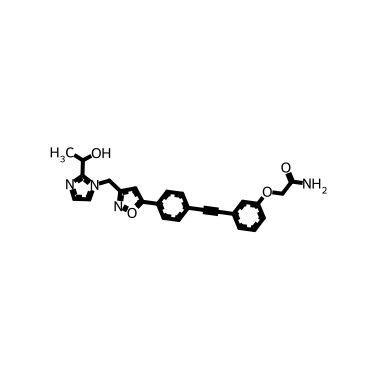 CC(O)c1nccn1Cc1cc(-c2ccc(C#Cc3cccc(OCC(N)=O)c3)cc2)on1